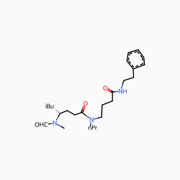 CCCN(CCCC(=O)NCCc1ccccc1)C(=O)CCC([C@@H](C)CC)N(C)C=O